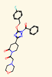 O=C1CC(c2nc(OCc3ccc(F)cc3)n(C(=O)c3ccccc3)n2)CCN1C(=O)CN1CCOCC1